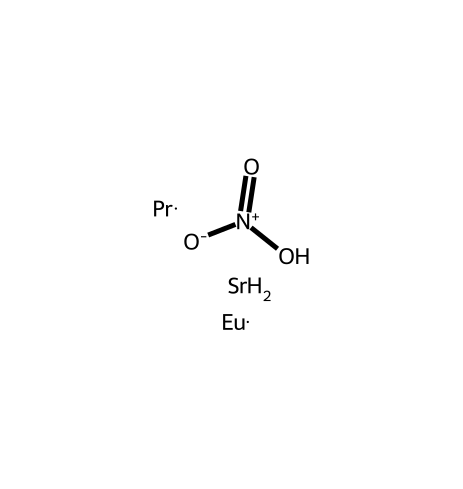 O=[N+]([O-])O.[Eu].[Pr].[SrH2]